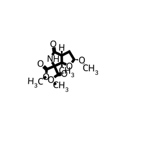 COC(=O)C1(C(=O)OC)NC(=O)[C@@H]2C[C@H](OC)O[C@@]21C